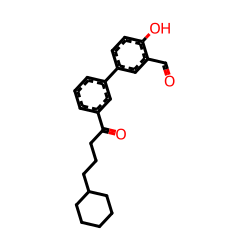 O=Cc1cc(-c2cccc(C(=O)CCCC3CCCCC3)c2)ccc1O